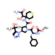 CC(C)(C)OC(=O)N[C@H](CC1CCCCC1)C(=O)N1C[C@@H](n2nncc2C(C)(C)O)C[C@H]1C(=O)NC1(C(O)C(N)=O)CCSCC1